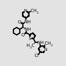 Cc1cc(NC(=O)[C@@H](NC(=O)c2ccc([C@H](C)Nc3cc(Cl)cnc3C)s2)C2CCCCC2)ccn1